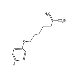 C=C(CCCCCOc1ccc(Cl)cc1)C(=O)OCC